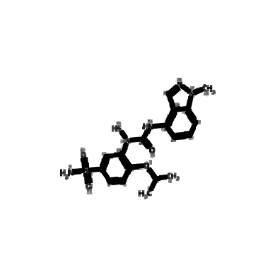 CC(C)Oc1ccc(S(N)(=O)=O)cc1N(S)C(=O)Nc1cccc2c1cnn2C